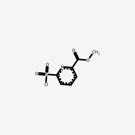 COC(=O)c1cccc(S(=O)(=O)Cl)n1